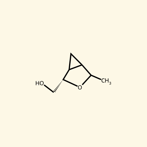 CC1O[C@H](CO)C2CC12